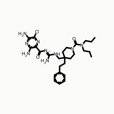 CCCN(CCC)C(=O)N1CCC(CCc2ccccc2)(CN/C(N)=N/C(=O)c2nc(Cl)c(N)nc2N)CC1